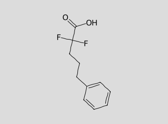 O=C(O)C(F)(F)CCCc1ccccc1